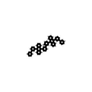 c1ccc(-c2cccc(-c3c4ccccc4c(-c4ccc5sc6c(-c7c8ccccc8c(-c8cccc(-c9ccccc9)c8)c8ccccc78)cccc6c5c4)c4ccccc34)c2)cc1